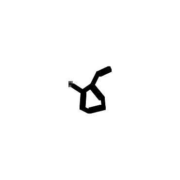 C=Cc1cc[c]cc1F